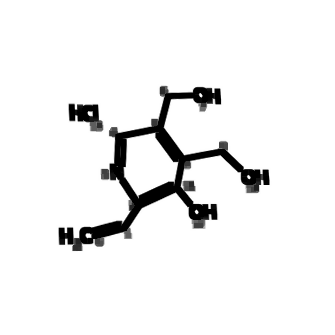 C=Cc1ncc(CO)c(CO)c1O.Cl